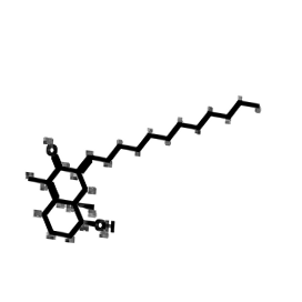 CCCCCCCCCCCC=C1C[C@@]2(C)C(=C(C)C1=O)CCC[C@@H]2O